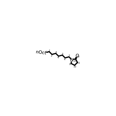 CCCCCCCCCCCCCCCN1CCCC1=O